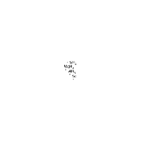 [AlH3].[MgH2].[Sc].[SiH4]